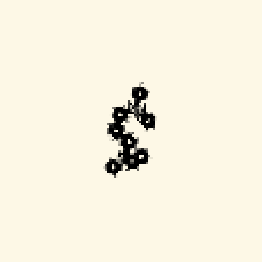 C1=CCCC(c2nc(-c3ccccc3)nc(-c3cccc(-c4cccc(-c5cccc(-c6cn(C7C=CC=CC7)c7ccc8c(c67)C=CCC8)c5)c4)c3)n2)=C1